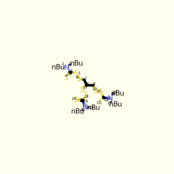 CCCCN(CCCC)C(=S)SSCC(CSSC(=S)N(CCCC)CCCC)SSC(=S)N(CCCC)CCCC